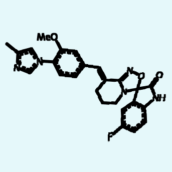 COc1cc(C=C2CCCN3C2=NOC32C(=O)Nc3ccc(F)cc32)ccc1-n1cnc(C)c1